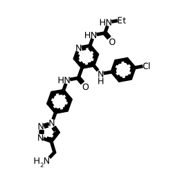 CCNC(=O)Nc1cc(Nc2ccc(Cl)cc2)c(C(=O)Nc2ccc(-n3cc(CN)nn3)cc2)cn1